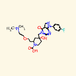 CN(C)CCOCCC1CC(O)(Cn2cnc3c(cnn3-c3ccc(F)cc3)c2=O)CCN1C(=O)O